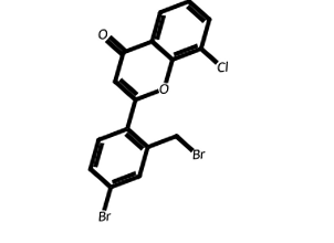 O=c1cc(-c2ccc(Br)cc2CBr)oc2c(Cl)cccc12